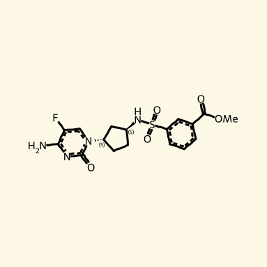 COC(=O)c1cccc(S(=O)(=O)N[C@H]2CC[C@H](n3cc(F)c(N)nc3=O)C2)c1